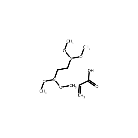 C=CC(=O)O.CON(CCN(OC)OC)OC